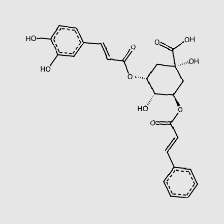 O=C(/C=C/c1ccccc1)O[C@@H]1C[C@](O)(C(=O)O)C[C@@H](OC(=O)/C=C/c2ccc(O)c(O)c2)[C@H]1O